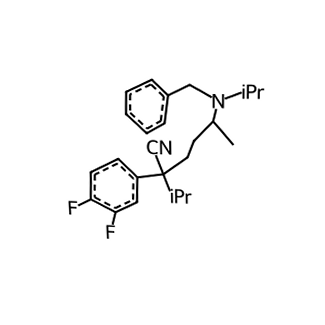 CC(C)N(Cc1ccccc1)C(C)CCC(C#N)(c1ccc(F)c(F)c1)C(C)C